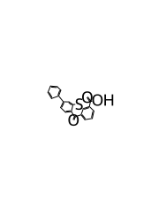 O=C(O)c1cccc2c(=O)c3ccc(-c4ccccc4)cc3sc12